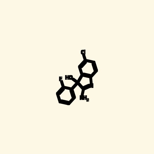 NC1=Nc2ccc(Cl)cc2C1(O)c1ccccc1F